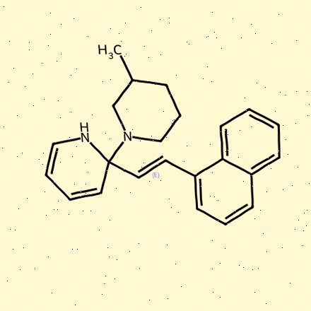 CC1CCCN(C2(/C=C/c3cccc4ccccc34)C=CC=CN2)C1